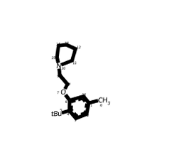 Cc1ccc(C(C)(C)C)c(OCCN2CCCCC2)c1